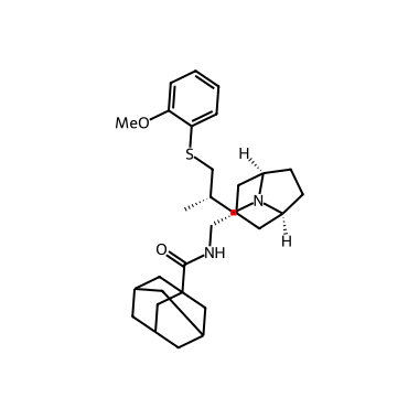 COc1ccccc1SC[C@@H](C)CN1[C@@H]2CC[C@H]1C[C@H](CNC(=O)C13CC4CC(CC(C4)C1)C3)C2